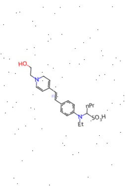 CCCC(N(CC)c1ccc(/C=C/C2=CCN(CCO)C=C2)cc1)S(=O)(=O)O